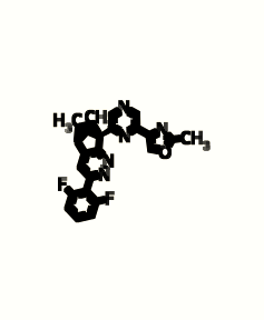 Cc1nc(-c2cncc([C@@]34CCC(c5cc(-c6c(F)cccc6F)nnc53)C4(C)C)n2)co1